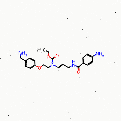 CCOC(=O)N(CCCNC(=O)c1ccc(N)cc1)CCOc1ccc(CN)cc1